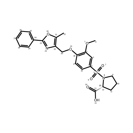 COc1cc(S(=O)(=O)N2CCC[C@@H]2C(=O)O)ccc1OCc1nc(-c2ccccc2)oc1C